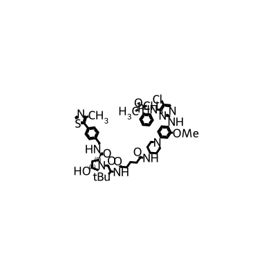 COc1cc(N2CCC(NC(=O)CCCC(=O)NC(C(=O)N3C[C@H](O)C[C@H]3C(=O)NCc3ccc(-c4scnc4C)cc3)C(C)(C)C)CC2)ccc1Nc1ncc(Cl)c(Nc2ccccc2P(C)(C)=O)n1